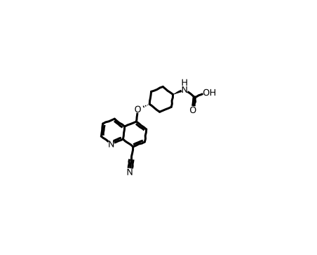 N#Cc1ccc(O[C@H]2CC[C@H](NC(=O)O)CC2)c2cccnc12